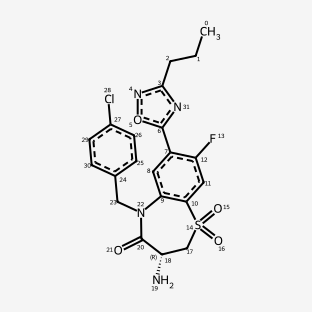 CCCc1noc(-c2cc3c(cc2F)S(=O)(=O)C[C@H](N)C(=O)N3Cc2ccc(Cl)cc2)n1